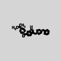 CC(C)N1CCN(C(=O)c2ccc3c(CN4CCN(Cc5ccccc5)CC4)c[nH]c3c2)CC1